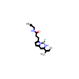 C#CCNC(=O)CCc1ccc2n1B(F)NC(/C(C)=C\CC)=C2